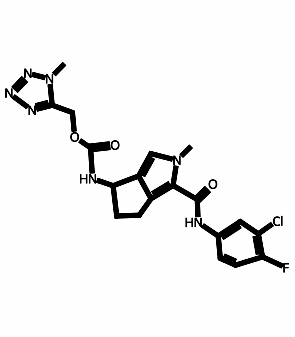 Cn1cc2c(c1C(=O)Nc1ccc(F)c(Cl)c1)CCC2NC(=O)OCc1nnnn1C